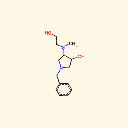 CN(CCO)C1CN(Cc2ccccc2)CC1O